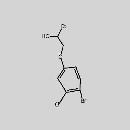 CCC(O)COc1ccc(Br)c(Cl)c1